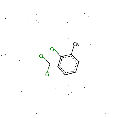 ClCCl.N#Cc1ccccc1Cl